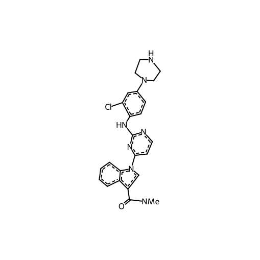 CNC(=O)c1cn(-c2ccnc(Nc3ccc(N4CCNCC4)cc3Cl)n2)c2ccccc12